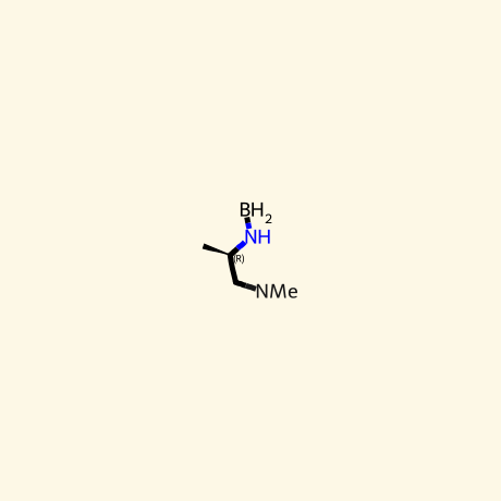 BN[C@H](C)CNC